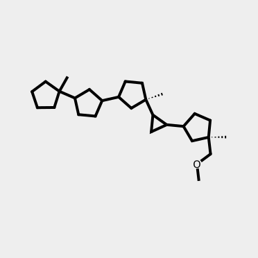 COC[C@]1(C)CCC(C2CC2[C@]2(C)CCC(C3CCC(C4(C)CCCC4)C3)C2)C1